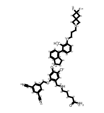 Cc1c(OCCCN2CC3(C2)CC(F)(F)C3)cccc1-c1cccc2c1CC[C@@H]2Oc1cc(OCc2cc(C#N)cc(C#N)c2)c(CNCCCCC(N)=O)cc1Cl